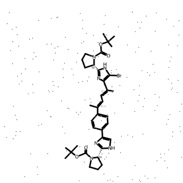 C/C(=C\C=C(/C)c1nc([C@@H]2CCCN2C(=O)OC(C)(C)C)[nH]c1Br)c1ccc(-c2c[nH]c([C@@H]3CCCN3C(=O)OC(C)(C)C)n2)cc1